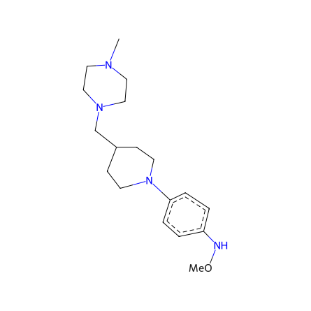 CONc1ccc(N2CCC(CN3CCN(C)CC3)CC2)cc1